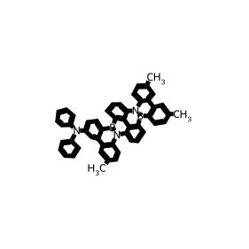 Cc1ccc2c(c1)-c1cc(C)ccc1N1B2c2cccc3c2-c2c(cccc21)B1c2ccc(N(c4ccccc4)c4ccccc4)cc2-c2cc(C)ccc2N13